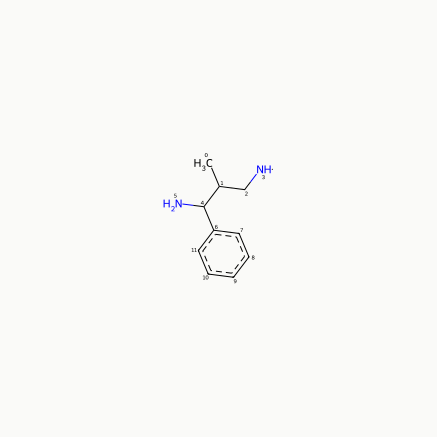 CC(C[NH])C(N)c1ccccc1